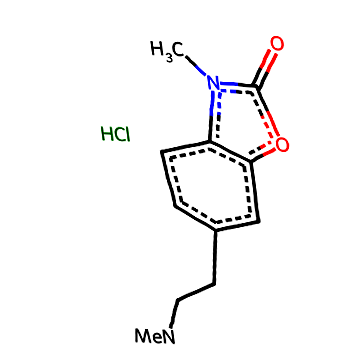 CNCCc1ccc2c(c1)oc(=O)n2C.Cl